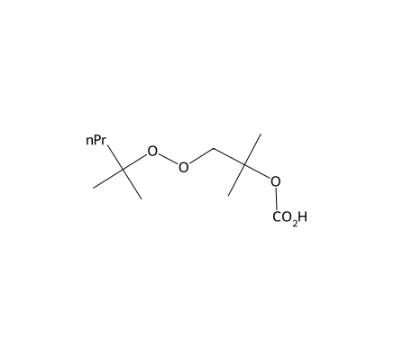 CCCC(C)(C)OOCC(C)(C)OC(=O)O